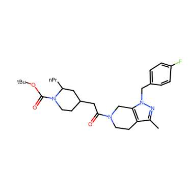 CCCC1CC(CC(=O)N2CCc3c(C)nn(Cc4ccc(F)cc4)c3C2)CCN1C(=O)OC(C)(C)C